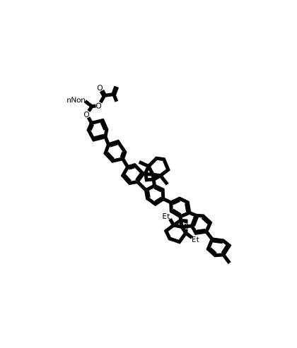 C=C(C)C(=O)OC(CCCCCCCCC)Oc1ccc(-c2ccc(-c3ccc4c(c3)C3(c5cc(-c6ccc7c(c6)C6(c8cc(-c9ccc(C)cc9)ccc8-7)C7(CC)CCCC6(CC)CCC7)ccc5-4)C4(C)CCCC3(C)CCC4)cc2)cc1